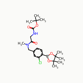 CN(Cc1ccc(B2OC(C)(C)C(C)(C)O2)c(Cl)c1)C(=O)CNC(=O)OC(C)(C)C